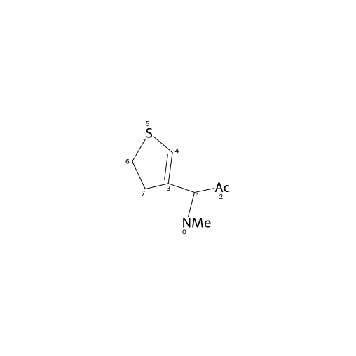 CNC(C(C)=O)C1=CSCC1